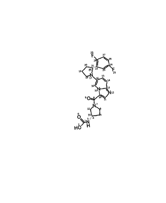 O=C(O)N[C@H]1CCN(C(=O)c2cnc3ccc(N4CCC[C@@H]4c4cc(F)ccc4F)cn23)C1